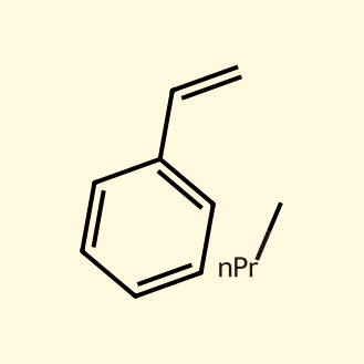 C=Cc1ccccc1.CCCC